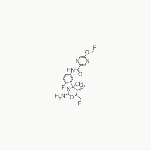 C[C@]1(c2cc(NC(=O)c3cnc(OCF)cn3)ccc2F)N=C(N)O[C@H](CF)[C@@H]1F